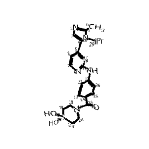 Cc1ncc(-c2ccnc(Nc3ccc(C(=O)N4CCS(O)(O)CC4)cc3)n2)n1C(C)C